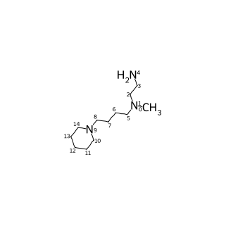 CN(CCN)CCCCN1CCCCC1